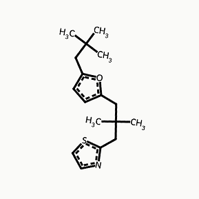 CC(C)(C)Cc1ccc(CC(C)(C)Cc2nccs2)o1